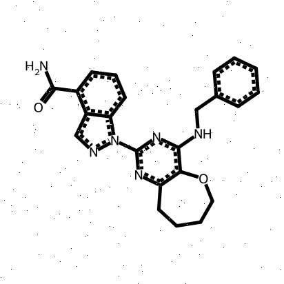 NC(=O)c1cccc2c1cnn2-c1nc2c(c(NCc3ccccc3)n1)OCCCC2